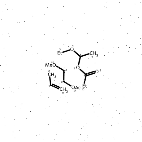 C=CC.CCOC(C)OC(=O)CC.COCCOC(C)=O